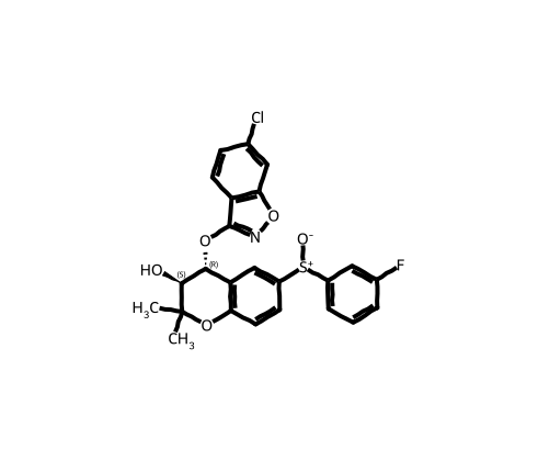 CC1(C)Oc2ccc([S+]([O-])c3cccc(F)c3)cc2[C@@H](Oc2noc3cc(Cl)ccc23)[C@@H]1O